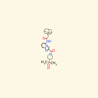 CC(C)(O)C1CCN(C(=O)c2cn3c(NC(=O)CC45CC6CC(CC(C6)C4)C5)cccc3n2)CC1